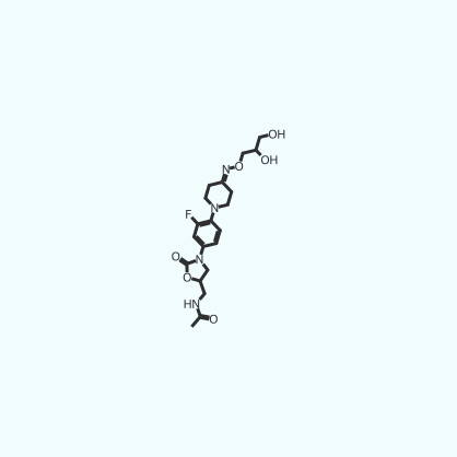 CC(=O)NCC1CN(c2ccc(N3CCC(=NOCC(O)CO)CC3)c(F)c2)C(=O)O1